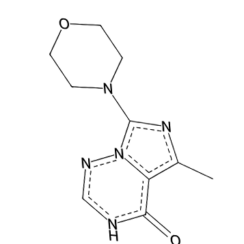 Cc1nc(N2CCOCC2)n2nc[nH]c(=O)c12